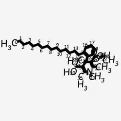 CCCCCCCCCCCCCCCc1cccc(OCC)c1C1(C)C(C(=O)O)=C(C)N(C)C(C)=C1C(=O)O